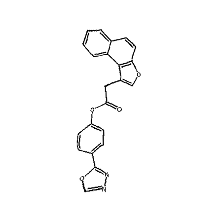 O=C(Cc1coc2ccc3ccccc3c12)Oc1ccc(-c2nnco2)cc1